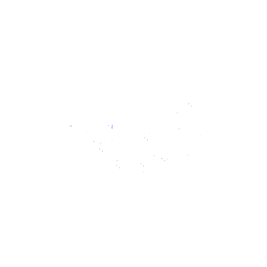 CN1CCc2ccc(Nc3ncc4c(=N)n(-c5ccccc5)c(=O)[nH]c4n3)cc2C1